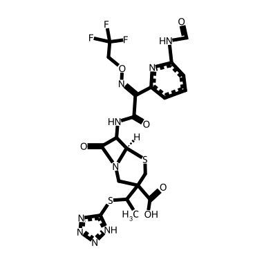 CC(Sc1nnn[nH]1)C1(C(=O)O)CS[C@@H]2C(NC(=O)C(=NOCC(F)(F)F)c3cccc(NC=O)n3)C(=O)N2C1